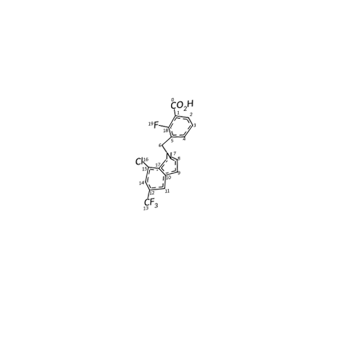 O=C(O)c1cccc(Cn2ccc3cc(C(F)(F)F)cc(Cl)c32)c1F